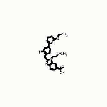 CCOc1cccc(-c2ccc(Cc3nc4ccc(C(=O)O)cc4n3CCOC)c(F)c2)n1